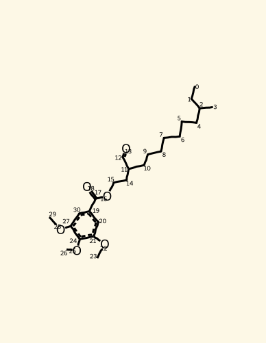 CCC(C)CCCCCCCC(C=O)CCOC(=O)c1cc(OC)c(OC)c(OC)c1